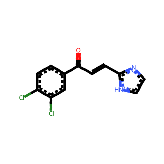 O=C(/C=C/c1ncc[nH]1)c1ccc(Cl)c(Cl)c1